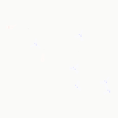 CN(CC(C)(C)CO)C(=O)c1ccc2c(c1)c(-c1cc3c(ncc4cnn(C)c43)[nH]1)cn2C